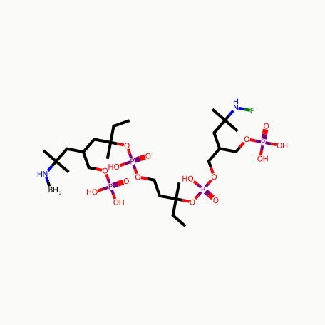 BNC(C)(C)CC(COP(=O)(O)O)CC(C)(CC)OP(=O)(O)OCCC(C)(CC)OP(=O)(O)OCC(COP(=O)(O)O)CC(C)(C)NF